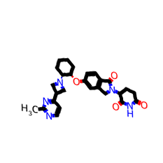 Cc1nccc(C2CN([C@@H]3CCCC[C@H]3Oc3ccc4c(c3)CN(C3CCC(=O)NC3=O)C4=O)C2)n1